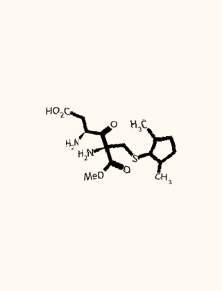 COC(=O)[C@@](N)(CSC1C(C)CCC1C)C(=O)[C@@H](N)CC(=O)O